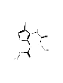 Cc1csc(NC(=O)OC(C)(C)C)c1NC(=O)OC(C)(C)C